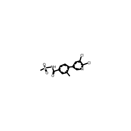 Cc1cc(C(=O)NS(C)(=O)=O)ccc1-c1cnc(Cl)c(Cl)c1